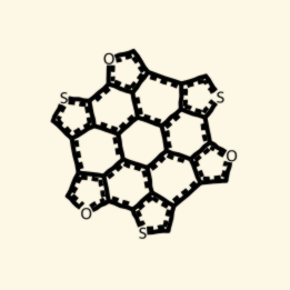 c1oc2c3scc4c5coc6c7scc8c9coc%10c%11scc%12c1c2c1c(c43)c(c56)c(c87)c(c9%10)c1c%12%11